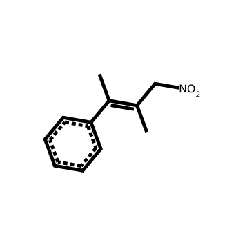 C/C(C[N+](=O)[O-])=C(/C)c1ccccc1